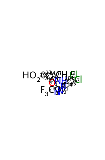 CC(NC(=O)c1c(C(F)(F)F)nn2c1N(Cc1ccc(Cl)c(Cl)c1)CC2)c1ccc(C(=O)O)cc1